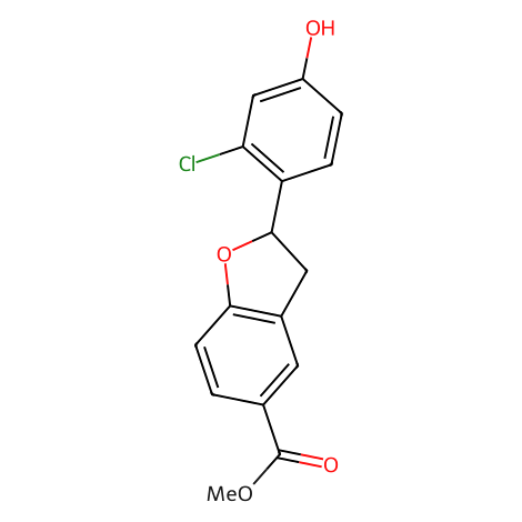 COC(=O)c1ccc2c(c1)CC(c1ccc(O)cc1Cl)O2